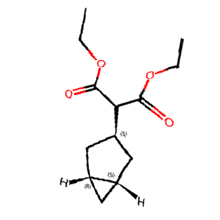 CCOC(=O)C(C(=O)OCC)[C@H]1C[C@@H]2C[C@@H]2C1